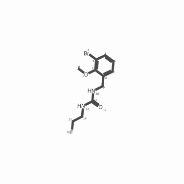 COc1c(Br)cccc1CNC(=O)NCCF